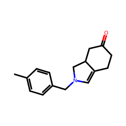 Cc1ccc(CN2C=C3CCC(=O)CC3C2)cc1